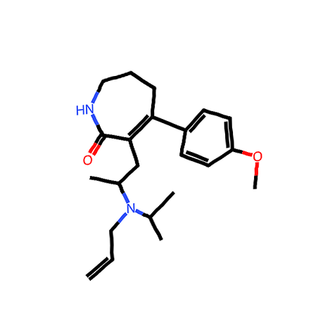 C=CCN(C(C)C)C(C)CC1=C(c2ccc(OC)cc2)CCCNC1=O